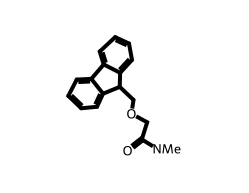 CNC(=O)COCC1c2ccccc2-c2ccccc21